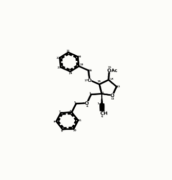 C#C[C@]1(COCc2ccccc2)OCC(OC(C)=O)C1OCc1ccccc1